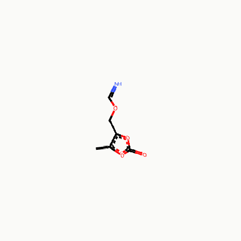 Cc1oc(=O)oc1COC=N